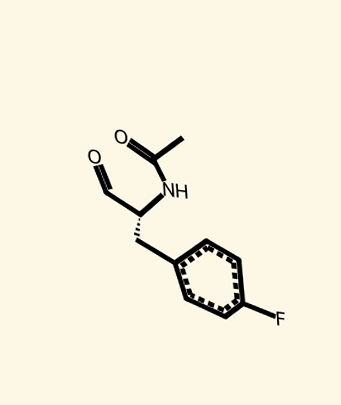 CC(=O)N[C@@H](C=O)Cc1ccc(F)cc1